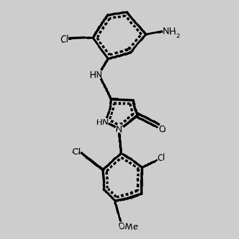 COc1cc(Cl)c(-n2[nH]c(Nc3cc(N)ccc3Cl)cc2=O)c(Cl)c1